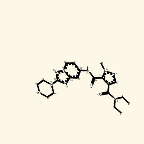 CCN(CC)C(=O)c1cnn(C)c1C(=O)Nc1ccn2nc(N3CCOCC3)nc2c1